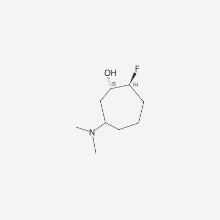 CN(C)C1CCC[C@H](F)[C@@H](O)C1